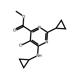 COC(=O)c1nc(C2CC2)nc(NC2CC2)c1Cl